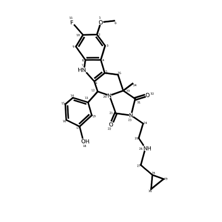 COc1cc2c3c([nH]c2cc1F)C(c1cccc(O)c1)N1C(=O)N(CCNCC2CC2)C(=O)C1(C)C3